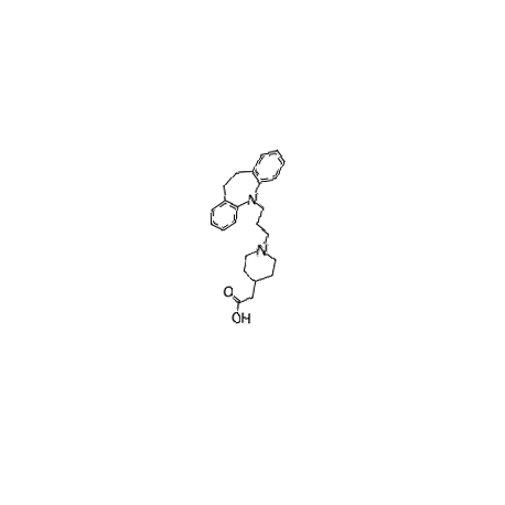 O=C(O)CC1CCN(CCCN2c3ccccc3CCc3ccccc32)CC1